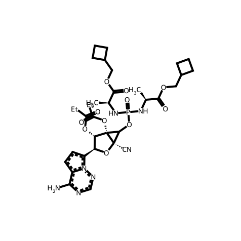 CCC(=O)O[C@H]1[C@H](c2ccc3c(N)ncnn23)O[C@]2(C#N)C(OP(=O)(N[C@@H](C)C(=O)OCC3CCC3)N[C@@H](C)C(=O)OCC3CCC3)[C@]12OC(=O)CC